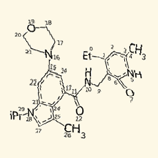 CCc1cc(C)[nH]c(=O)c1CNC(=O)c1cc(N2CCOCC2)cc2c1c(C)cn2C(C)C